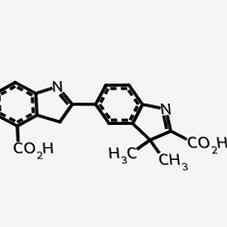 CC1(C)C(C(=O)O)=Nc2ccc(C3=Nc4cccc(C(=O)O)c4C3)cc21